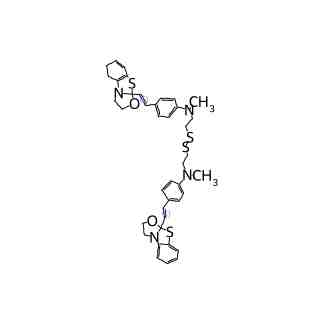 CN(CCSSCCN(C)c1ccc(/C=C/C23OCCN2c2ccccc2S3)cc1)c1ccc(/C=C/C23OCCN2C2=C(C=CCC2)S3)cc1